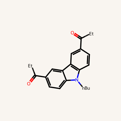 CCCCn1c2ccc(C(=O)CC)cc2c2cc(C(=O)CC)ccc21